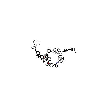 CCOC(=O)CCc1ccc(-c2ccc(C[C@@H]3NC(=O)[C@]4(Cc5ccccc5)CCCN(C4)C(=O)/C=C/C(=O)NCC[C@@H](C(=O)NCCOCCN)NC(=O)Cc4ccccc4CNC3=O)cc2)c(C)c1